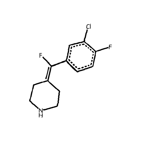 FC(=C1CCNCC1)c1ccc(F)c(Cl)c1